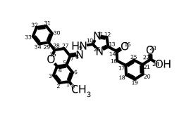 Cc1ccc2c(c1)/C(=N/NC1N=CC(C(=O)Cc3cccc(C(=O)O)c3)=N1)CC(c1ccccc1)O2